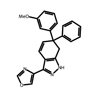 COc1cccc(C2(c3ccccc3)C=Cc3c(-c4cocn4)n[nH]c3C2)c1